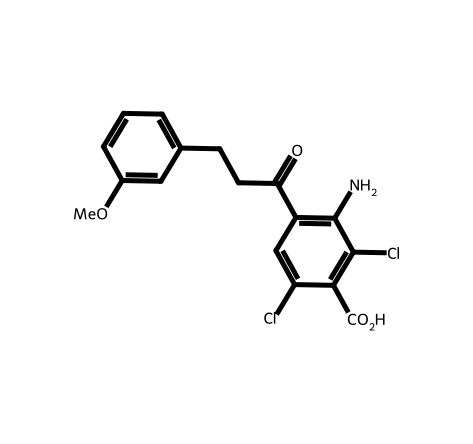 COc1cccc(CCC(=O)c2cc(Cl)c(C(=O)O)c(Cl)c2N)c1